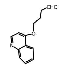 O=[C]CCCOc1ccnc2ccccc12